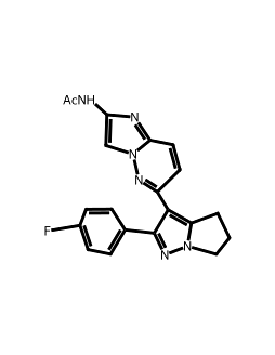 CC(=O)Nc1cn2nc(-c3c(-c4ccc(F)cc4)nn4c3CCC4)ccc2n1